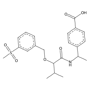 CC(NC(=O)C(OCc1cccc(S(C)(=O)=O)c1)C(C)C)c1ccc(C(=O)O)cc1